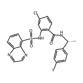 C[C@@H](NC(=O)c1ccc(Cl)cc1NS(=O)(=O)c1cccc2nccnc12)c1ccc(F)cc1